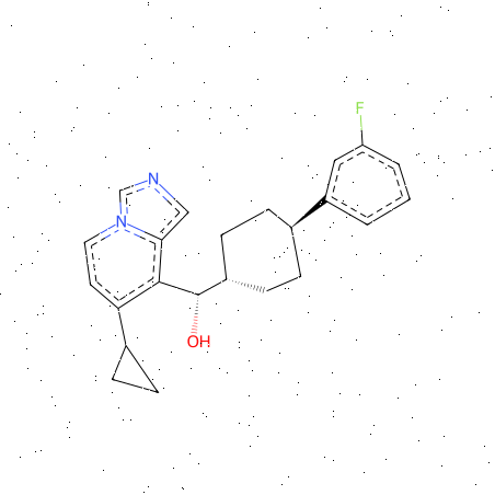 O[C@H](c1c(C2CC2)ccn2cncc12)[C@H]1CC[C@H](c2cccc(F)c2)CC1